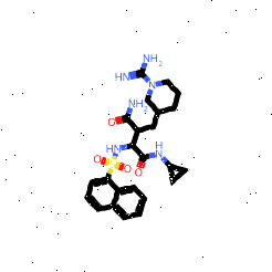 N=C(N)N1CCCC(CC(C(N)=O)C(NS(=O)(=O)c2cccc3ccccc23)C(=O)NC2CC2)C1